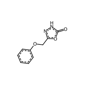 O=c1[nH]nc(COc2ccccc2)o1